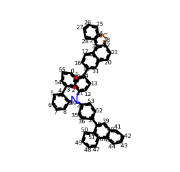 c1ccc(-c2ccccc2N(c2ccc(-c3ccc4c(ccc5sc6ccccc6c54)c3)cc2)c2ccc(-c3cc4ccccc4c4ccccc34)cc2)cc1